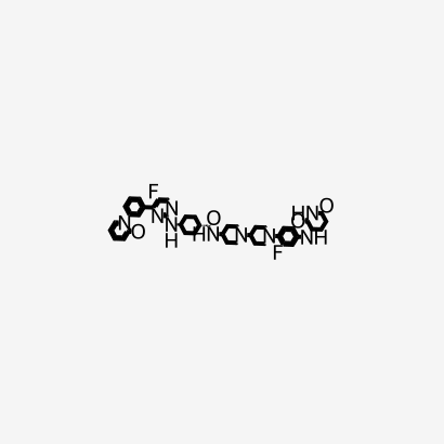 O=C1CC[C@@H](Nc2ccc(N3CCC(N4CCC(NC(=O)[C@H]5CC[C@H](Nc6ncc(F)c(-c7cccc(-n8ccccc8=O)c7)n6)CC5)CC4)CC3)c(F)c2)C(=O)N1